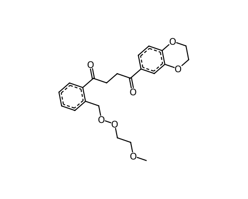 COCCOOCc1ccccc1C(=O)CCC(=O)c1ccc2c(c1)OCCO2